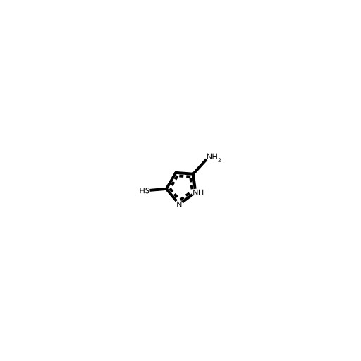 Nc1cc(S)n[nH]1